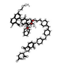 C#Cc1c(F)ccc2cc(OCOC)cc(-c3ncc4c(N5CC6CCC(C5)N6C(=O)OC(C)(C)C)nc(OCCN5CCC(CC6CCN(CC7CCN(c8ccc9c(c8F)CN([C@@H]8CCC(=O)NC8=O)C9=O)CC7)CC6)CC5)nc4c3F)c12